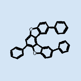 c1ccc(-c2ccc3oc4cc(-c5ccccc5)c5oc6ccc(-c7ccccc7)cc6c5c4c3c2)cc1